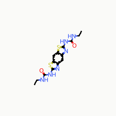 CCNC(=O)Nc1nc2cc3nc(NC(=O)NCC)sc3cc2s1